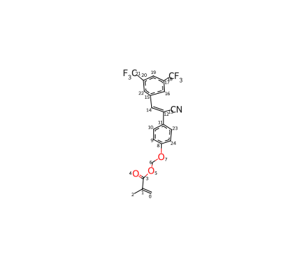 C=C(C)C(=O)OCOc1ccc(/C(C#N)=C/c2cc(C(F)(F)F)cc(C(F)(F)F)c2)cc1